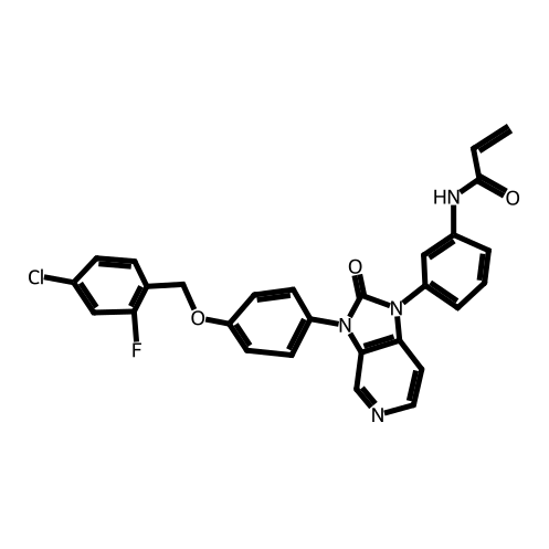 C=CC(=O)Nc1cccc(-n2c(=O)n(-c3ccc(OCc4ccc(Cl)cc4F)cc3)c3cnccc32)c1